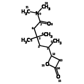 CC(CC(C)(C)CC(=O)N(C)C)C1CC(=O)O1